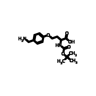 CC(C)(C)OC(=O)NC(CCOc1ccc(CN)cc1)C(=O)O